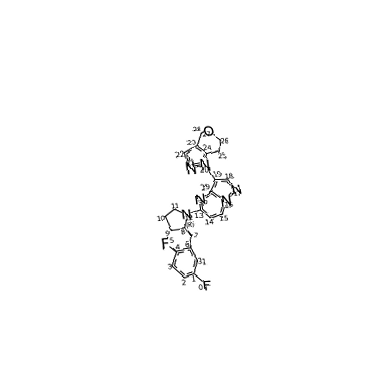 Fc1ccc(F)c(C[C@H]2CCCN2c2ccn3ncc(-n4ncc5c4CCOC5)c3n2)c1